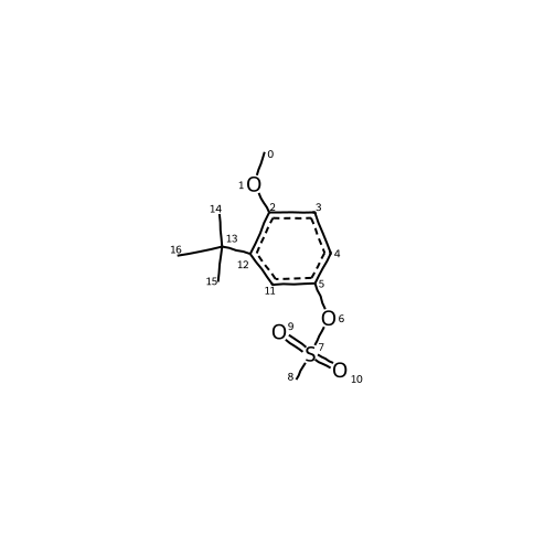 COc1ccc(OS(C)(=O)=O)cc1C(C)(C)C